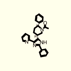 CC(=O)N1C[C@H](c2[nH]c(-c3ccccc3)nc2-c2ccccn2)CC[C@@H]1c1ccccc1